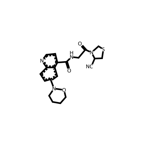 N#CC1CSCN1C(=O)CNC(=O)c1ccnc2ccc(N3CCCCO3)cc12